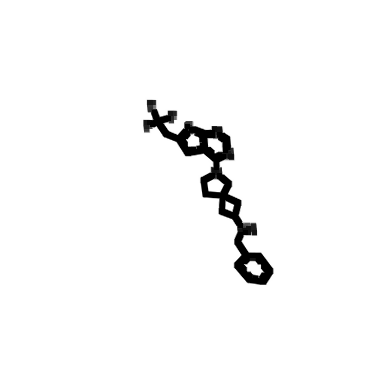 FC(F)(F)Cc1cc2c(N3CCC4(CC(NCc5ccccc5)C4)C3)ncnc2s1